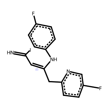 N=C(I)/C=C(/Cc1ccc(F)cn1)Nc1ccc(F)cc1